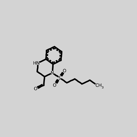 CCCCCS(=O)(=O)N1c2ccccc2NCC1C=O